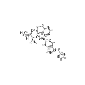 CNC(=O)[C@H](C)Oc1cccc2ncnc(Nc3ccc4c(cnn4Cc4nccs4)c3)c12